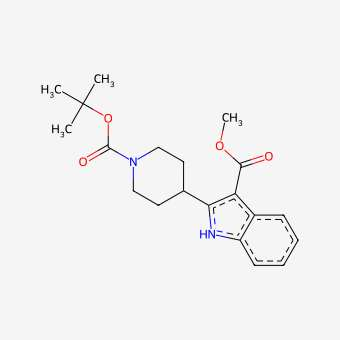 COC(=O)c1c(C2CCN(C(=O)OC(C)(C)C)CC2)[nH]c2ccccc12